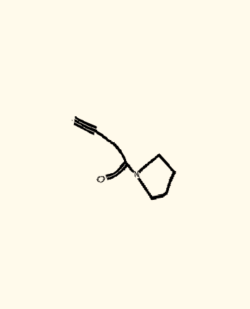 [C]#CCC(=O)N1CCCC1